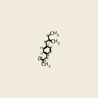 C=C(CC)Cc1ccc(CC(C)=O)cc1